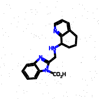 O=C(O)n1c(CNC2CCCc3cccnc32)nc2ccccc21